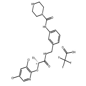 CC[C@@H](Oc1ncc(Cl)cc1Cl)C(=O)NCc1cccc(NC(=O)N2CCNCC2)c1.O=C(O)C(F)(F)F